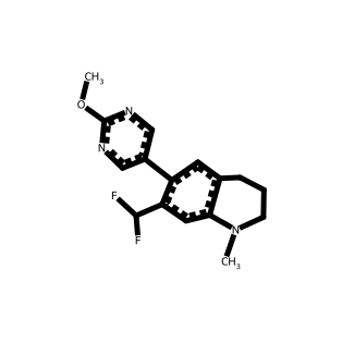 COc1ncc(-c2cc3c(cc2C(F)F)N(C)CCC3)cn1